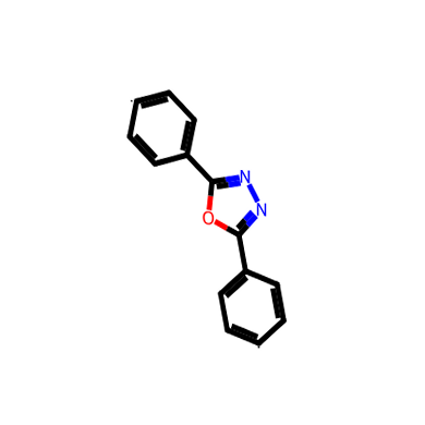 [c]1ccc(-c2nnc(-c3cc[c]cc3)o2)cc1